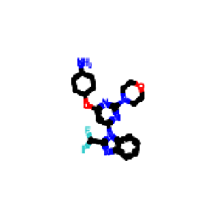 NC1CCC(Oc2cc(-n3c(C(F)F)nc4ccccc43)nc(N3CCOCC3)n2)CC1